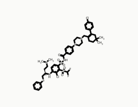 CN(C)CC[C@H](CSc1ccccc1)Nc1ccc(S(=O)(=O)NC(=O)c2ccc(N3CCN(CC4=C(c5ccc(Cl)cc5)CC(C)(C)CC4)CC3)cc2)c(S(=O)(=O)C(F)F)c1Cl